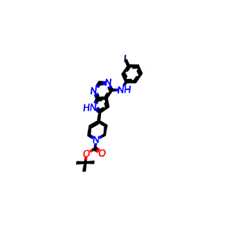 CC(C)(C)OC(=O)N1CC=C(c2cc3c(Nc4cccc(I)c4)ncnc3[nH]2)CC1